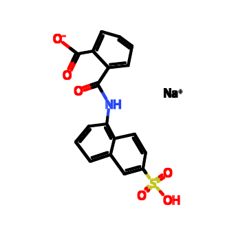 O=C([O-])c1ccccc1C(=O)Nc1cccc2cc(S(=O)(=O)O)ccc12.[Na+]